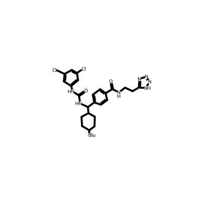 CC(C)(C)C1CCC(C(NC(=O)Nc2cc(Cl)cc(Cl)c2)c2ccc(C(=O)NCCc3nnn[nH]3)cc2)CC1